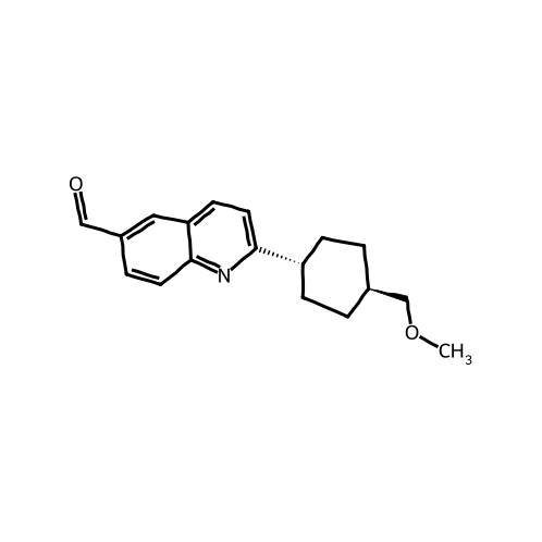 COC[C@H]1CC[C@H](c2ccc3cc(C=O)ccc3n2)CC1